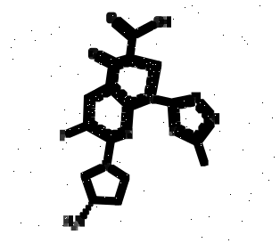 Cc1nnc(-n2cc(C(=O)O)c(=O)c3cc(F)c(N4CC[C@H](N)C4)nc32)s1